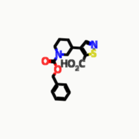 O=C(O)c1sncc1C1CCCN(C(=O)OCc2ccccc2)C1